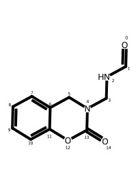 O=CNCN1Cc2ccccc2OC1=O